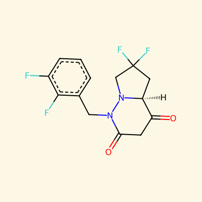 O=C1CC(=O)N(Cc2cccc(F)c2F)N2CC(F)(F)C[C@@H]12